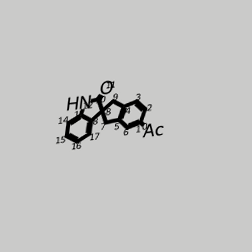 CC(=O)c1ccc2c(c1)CC1(C2)C(=O)Nc2ccccc21